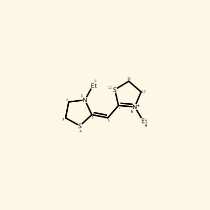 CCN1CCS/C1=C/C1=[N+](CC)CCS1